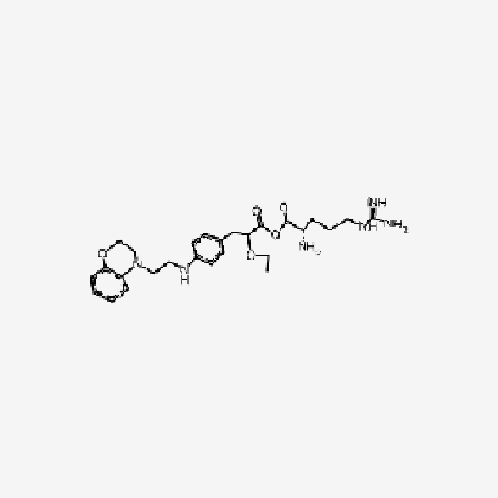 CCOC(Cc1ccc(NCCN2CCOc3ccccc32)cc1)C(=O)OC(=O)[C@@H](N)CCCNC(=N)N